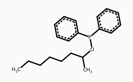 CCCCCCC(C)OP(c1ccccc1)c1ccccc1